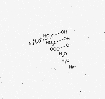 O.O.O.O.O=C(O)O.O=C(O)O.O=C([O-])[O-].[Na+].[Na+]